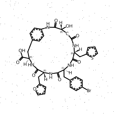 O=C1C[C@@H](O)C(=O)Nc2ccc(cc2)C[C@H](C(=O)O)NC(=O)[C@@H](Cc2ccco2)NC(=O)[C@H](Cc2ccc(Br)cc2)NC(=O)[C@@H](Cc2cccs2)N1